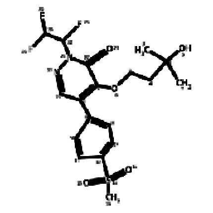 CC(C)(O)CCOc1c(-c2ccc(S(C)(=O)=O)cc2)cnn(C(F)C(F)F)c1=O